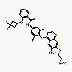 CNCCOc1cc2nccc(Oc3c(F)cc(NC(=O)c4cnccc4OC4CC(F)(F)C4)cc3F)c2cc1OC